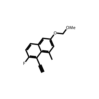 C#Cc1c(F)ccc2cc(OCOC)cc(C)c12